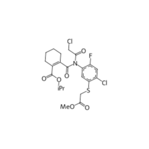 COC(=O)CSc1cc(N(C(=O)CCl)C(=O)C2=C(C(=O)OC(C)C)CCCC2)c(F)cc1Cl